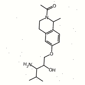 CC(=O)N1CCc2cc(OCC(O)C(N)C(C)C)ccc2C1C